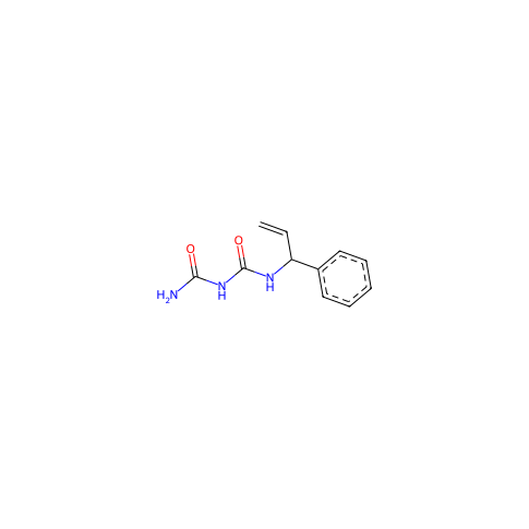 C=CC(NC(=O)NC(N)=O)c1ccccc1